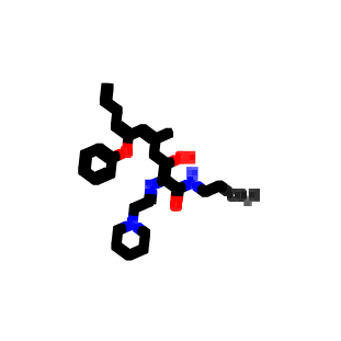 C=CC/C=C(\C=C(\C)C/C(O)=C(\N=C\CN1CCCCC1)C(=O)NCCC(=O)O)Oc1ccccc1